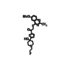 COc1ccc2nc(C)nc(SCC(=O)c3ccc(C4(O)CCN(CCF)CC4)s3)c2c1